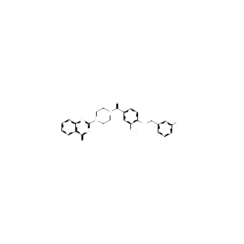 N#Cc1cc(C(=O)N2CCN(c3nc4ccccc4c(=O)[nH]3)CC2)ccc1OCc1cccc(Cl)c1